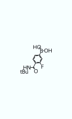 CC(C)(C)NC(=O)c1ccc(B(O)O)cc1F